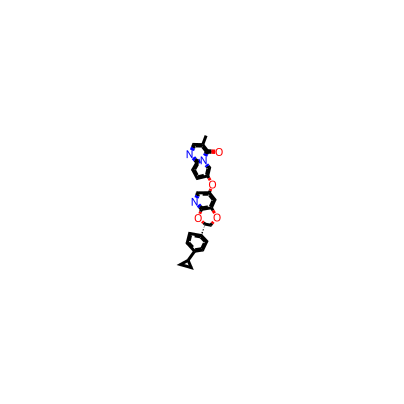 Cc1cnc2ccc(Oc3cnc4c(c3)OC[C@H](c3ccc(C5CC5)cc3)O4)cn2c1=O